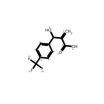 C=C(C(=O)O)C(O)c1ccc(C(F)(F)F)cc1